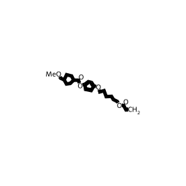 C=CC(=O)OCCCCCCOc1ccc(OC(=O)C2CCC(COC)CC2)cc1